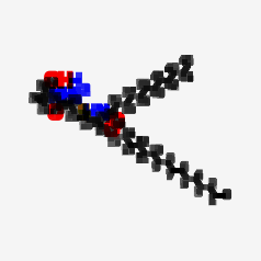 CCCCCCCCCCCCCCCCOCC(CSCC(N)C(=O)NC1(CO)CC1)NC(=O)CCCCCCCCCCC